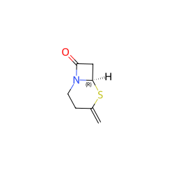 C=C1CCN2C(=O)C[C@H]2S1